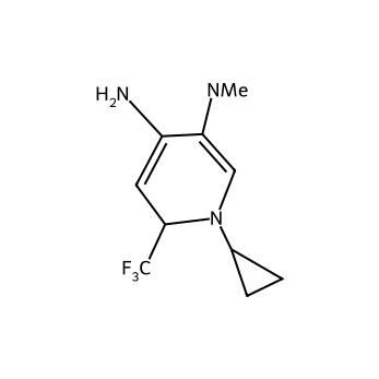 CNC1=CN(C2CC2)C(C(F)(F)F)C=C1N